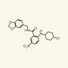 O=C(NCc1ccc2c(c1)OCO2)c1cc([N+](=O)[O-])ccc1NC1CCC(Cl)CC1